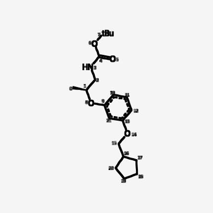 C[C@@H](CNC(=O)OC(C)(C)C)Oc1cccc(OCC2CCCC2)c1